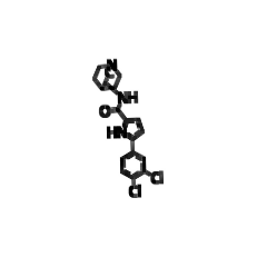 O=C(NC1CN2CCC1CC2)c1ccc(-c2ccc(Cl)c(Cl)c2)[nH]1